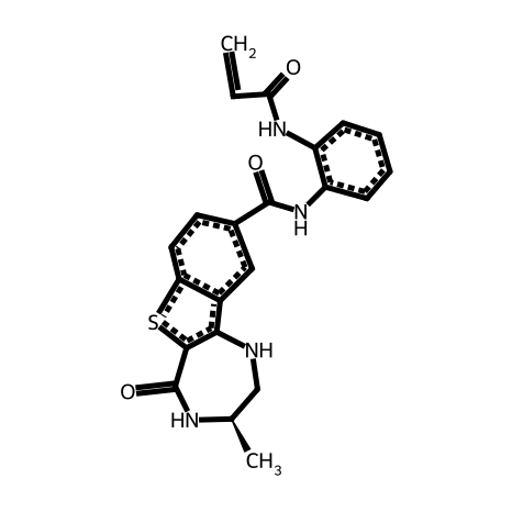 C=CC(=O)Nc1ccccc1NC(=O)c1ccc2sc3c(c2c1)NC[C@@H](C)NC3=O